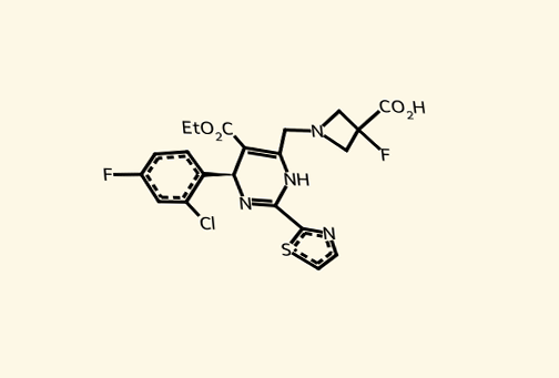 CCOC(=O)C1=C(CN2CC(F)(C(=O)O)C2)NC(c2nccs2)=N[C@H]1c1ccc(F)cc1Cl